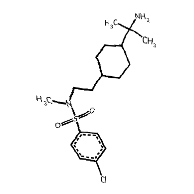 CN(CCC1CCC(C(C)(C)N)CC1)S(=O)(=O)c1ccc(Cl)cc1